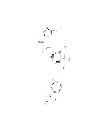 COn1c(NCCc2ccc(C(F)(F)F)cc2)nc2c(c1=O)CN(C(=O)c1ccc(Cl)o1)CC2